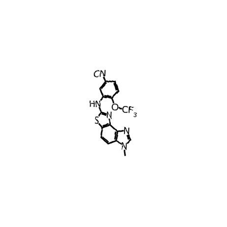 [C-]#[N+]c1ccc(OC(F)(F)F)c(Nc2nc3c(ccc4c3ncn4C)s2)c1